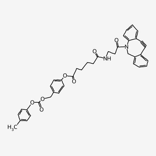 Cc1ccc(OC(=O)OCc2ccc(OC(=O)CCCCC(=O)NCCC(=O)N3Cc4ccccc4C#Cc4ccccc43)cc2)cc1